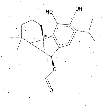 CC(C)c1cc2c(c(O)c1O)[C@@]13CCCC(C)(C)C1C3[C@@H]2OC=O